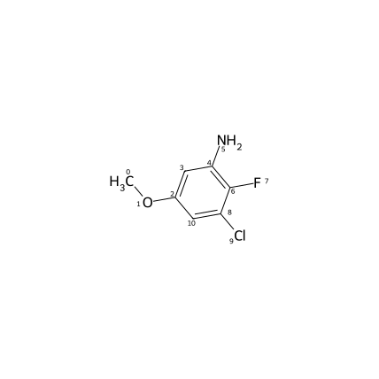 COc1cc(N)c(F)c(Cl)c1